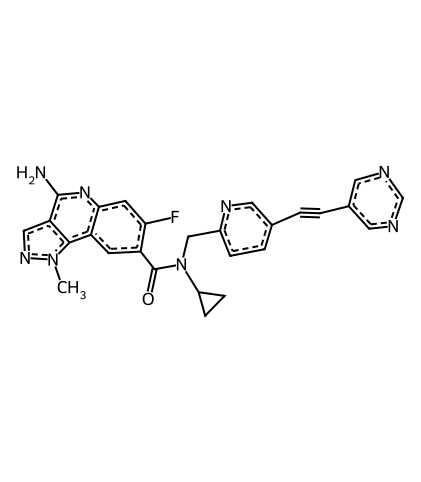 Cn1ncc2c(N)nc3cc(F)c(C(=O)N(Cc4ccc(C#Cc5cncnc5)cn4)C4CC4)cc3c21